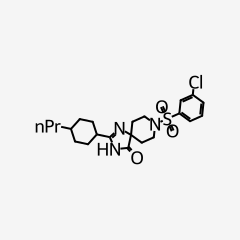 CCCC1CCC(C2=NC3(CCN(S(=O)(=O)c4cccc(Cl)c4)CC3)C(=O)N2)CC1